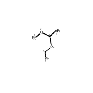 CCCC(OCC)OCC(C)C